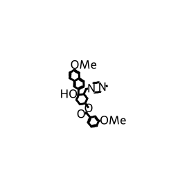 COc1cccc(C(=O)OC2CCC(O)(c3ccc4cc(OC)ccc4c3)C(CN3CCN(C)CC3)C2)c1